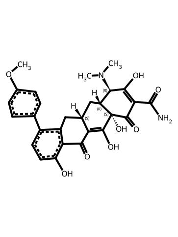 COc1ccc(-c2ccc(O)c3c2C[C@@H]2C[C@@H]4[C@@H](N(C)C)C(O)=C(C(N)=O)C(=O)[C@@]4(O)C(O)=C2C3=O)cc1